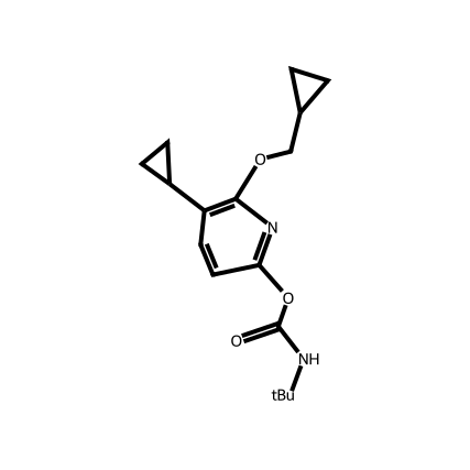 CC(C)(C)NC(=O)Oc1ccc(C2CC2)c(OCC2CC2)n1